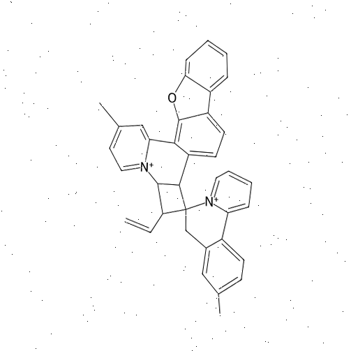 C=CC1C2C(c3ccc4c(oc5ccccc54)c3-c3cc(C)cc[n+]32)C12Cc1cc(C)ccc1-c1cccc[n+]12